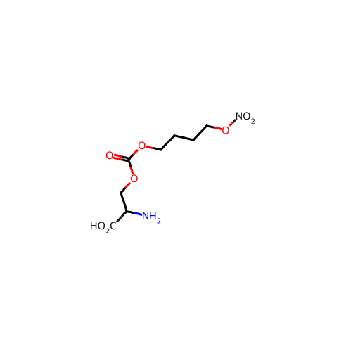 NC(COC(=O)OCCCCO[N+](=O)[O-])C(=O)O